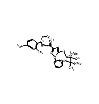 CNC(C)(NC)[C@@](O)(COc1cc(C(=O)N[C@@H](CC(=O)O)c2ccc(C)cc2C)nn1-c1ccccc1)NC